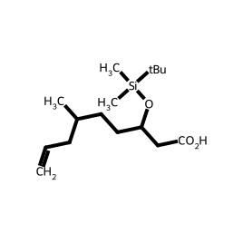 C=CCC(C)CCC(CC(=O)O)O[Si](C)(C)C(C)(C)C